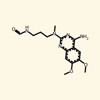 COc1cc2nc(N(C)CCCNC=O)nc(N)c2cc1OC